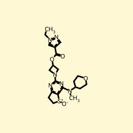 CCn1cc(C(=O)OC2CN(c3nc4c(c(N(C)C5CCOCC5)n3)[S+]([O-])CC4)C2)cn1